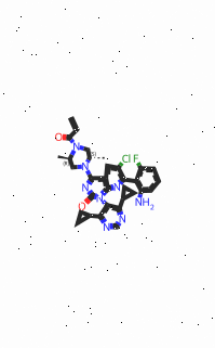 C=CC(=O)N1C[C@H](C)N(c2nc(=O)n(-c3c(C4CC4)ncnc3C3CC3)c3nc(-c4c(N)cccc4F)c(Cl)cc23)C[C@H]1C